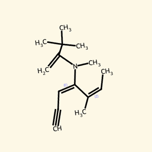 C#C/C=C(\C(C)=C/C)N(C)C(=C)C(C)(C)C